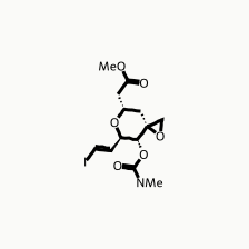 CNC(=O)O[C@@H]1[C@@H](/C=C/I)O[C@H](CC(=O)OC)C[C@@]12CO2